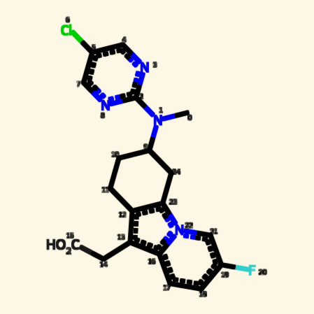 CN(c1ncc(Cl)cn1)C1CCc2c(CC(=O)O)c3ccc(F)cn3c2C1